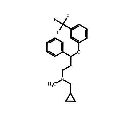 CN(CCC(Oc1cccc(C(F)(F)F)c1)c1ccccc1)CC1CC1